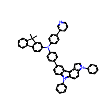 CC1(C)c2ccccc2-c2ccc(N(c3ccc(-c4cccnc4)cc3)c3ccc(-c4ccc5c(c4)c4c6ccn(-c7ccccc7)c6ccc4n5-c4ccccc4)cc3)cc21